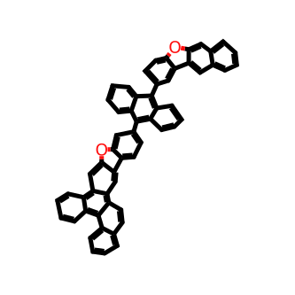 c1ccc2cc3c(cc2c1)oc1ccc(-c2c4ccccc4c(-c4ccc5c(c4)oc4cc6c7ccccc7c7c8ccccc8ccc7c6cc45)c4ccccc24)cc13